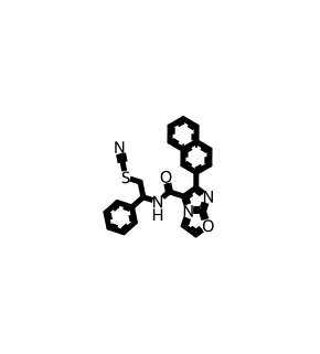 N#CSCC(NC(=O)c1c(-c2ccc3ccccc3c2)nc2occn12)c1ccccc1